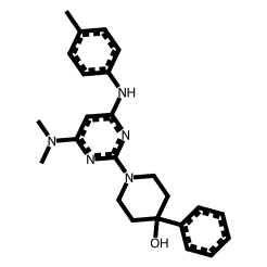 Cc1ccc(Nc2cc(N(C)C)nc(N3CCC(O)(c4ccccc4)CC3)n2)cc1